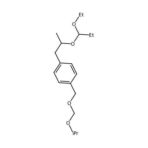 CCOC(CC)OC(C)Cc1ccc(COCOC(C)C)cc1